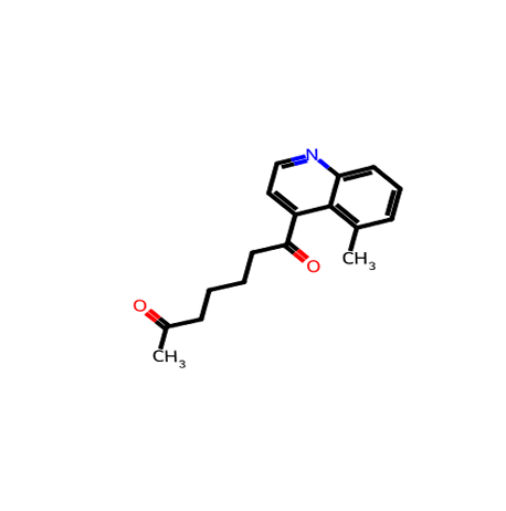 CC(=O)CCCCC(=O)c1ccnc2cccc(C)c12